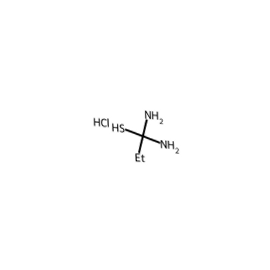 CCC(N)(N)S.Cl